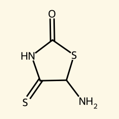 NC1SC(=O)NC1=S